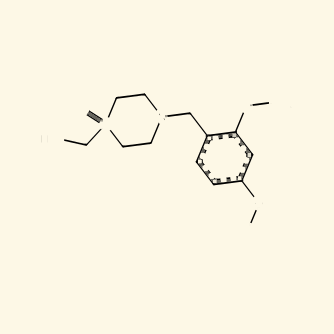 CCP1(=O)CCN(Cc2ccc(OC)cc2OC)CC1